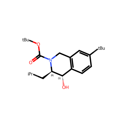 CC(C)C[C@@H]1[C@@H](O)c2ccc(C(C)(C)C)cc2CN1C(=O)OC(C)(C)C